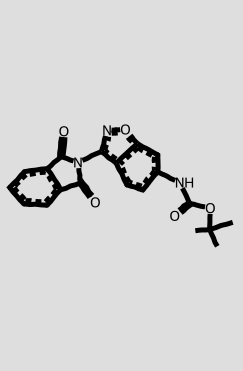 CC(C)(C)OC(=O)Nc1ccc2c(N3C(=O)c4ccccc4C3=O)noc2c1